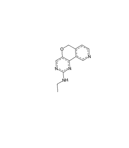 CCNc1ncc2c(n1)-c1cnccc1CO2